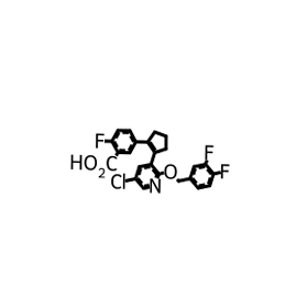 O=C(O)c1cc(C2=C(c3cc(Cl)cnc3OCc3ccc(F)c(F)c3)CCC2)ccc1F